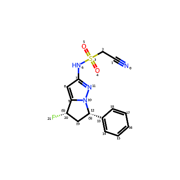 N#CCS(=O)(=O)Nc1cc2n(n1)[C@H](c1ccccc1)C[C@@H]2F